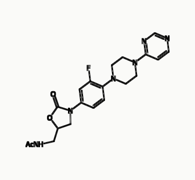 CC(=O)NCC1CN(c2ccc(N3CCN(c4ccncn4)CC3)c(F)c2)C(=O)O1